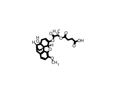 COc1ccc2c3c1O[C@H]1C(OC(=O)[C@H](C)OC(=O)CCC(=O)O)=CC[C@@]4(O)[C@H](CCC[C@]314)C2